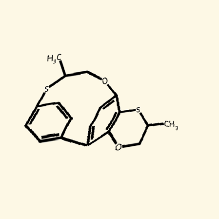 CC1COc2ccc(c3c2SC(C)CO3)-c2ccc(cc2)S1